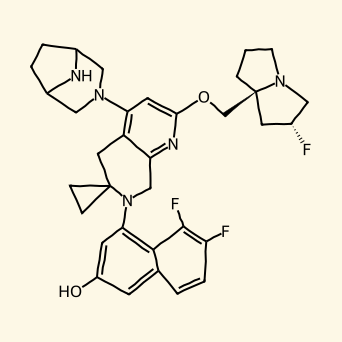 Oc1cc(N2Cc3nc(OC[C@@]45CCCN4C[C@H](F)C5)cc(N4CC5CCC(C4)N5)c3CC23CC3)c2c(F)c(F)ccc2c1